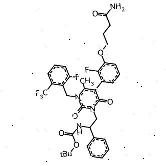 Cc1c(-c2cccc(OCCCC(N)=O)c2F)c(=O)n(CC(NC(=O)OC(C)(C)C)c2ccccc2)c(=O)n1Cc1c(F)cccc1C(F)(F)F